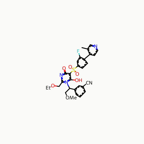 CCOCc1nc(=O)c(S(=O)(=O)c2ccc(-c3ccncc3C)c(F)c2)c(O)n1C(COC)c1cccc(C#N)c1